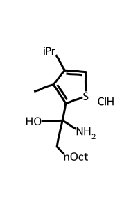 CCCCCCCCCC(N)(O)c1scc(C(C)C)c1C.Cl